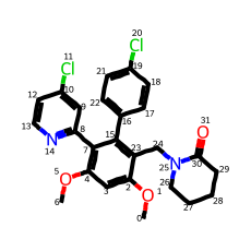 COc1cc(OC)c(-c2cc(Cl)ccn2)c(-c2ccc(Cl)cc2)c1CN1CCCCC1=O